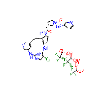 O=C(C[C@@H]1CCN(C(=O)Nc2cccnc2)C1)Nc1ccc2cc1CCc1cncc(c1)Nc1ncc(Cl)c(n1)N2.O=C(O)C(F)(F)F.O=C(O)C(F)(F)F.O=C(O)C(F)(F)F